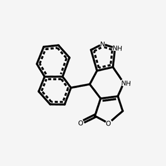 O=C1OCC2=C1C(c1cccc3ccccc13)c1cn[nH]c1N2